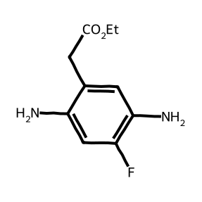 CCOC(=O)Cc1cc(N)c(F)cc1N